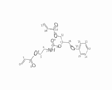 C=CC(=O)OCCNC(=O)OC(COC(=O)C=C)COc1ccccc1